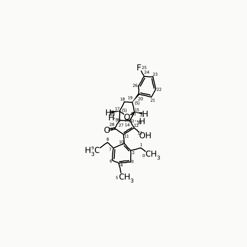 CCc1cc(C)cc(CC)c1C1=C(O)[C@@H]2[C@@H]3O[C@@H](C[C@H]3c3cccc(F)c3)[C@@H]2C1=O